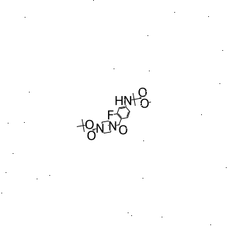 COC(=O)C(C)(C)Nc1ccc(C(=O)N2CCN(C(=O)OC(C)(C)C)CC2)c(F)c1